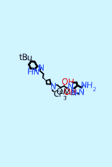 CO[C@H](CN(CC(F)(F)F)[C@H]1C[C@H](CCc2nc3cc(C(C)(C)C)ccc3[nH]2)C1)[C@@H](O)[C@@H](O)n1ccc2c(N)ncnc21